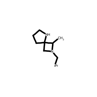 CC(C)CN1CC2(CCCN2)C1C